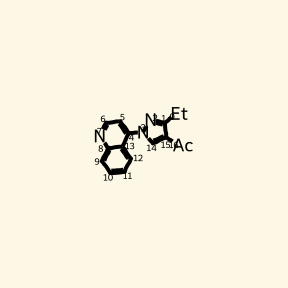 CCc1nn(-c2ccnc3ccccc23)cc1C(C)=O